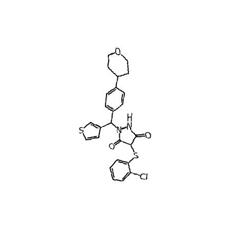 O=C1NN(C(c2ccc(C3CCOCC3)cc2)c2ccsc2)C(=O)C1Sc1ccccc1Cl